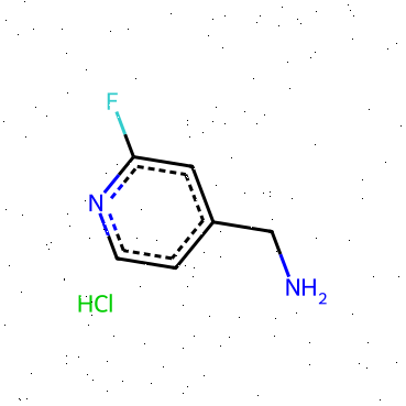 Cl.NCc1ccnc(F)c1